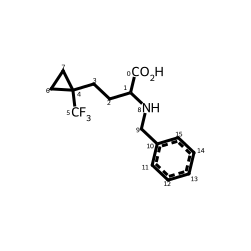 O=C(O)C(CCC1(C(F)(F)F)CC1)NCc1ccccc1